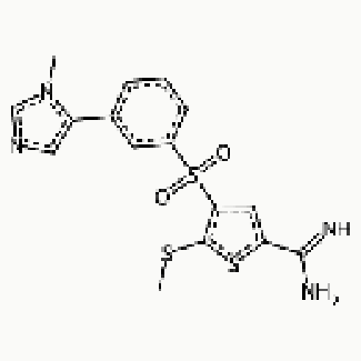 CSc1sc(C(=N)N)cc1S(=O)(=O)c1cccc(-c2cncn2C)c1